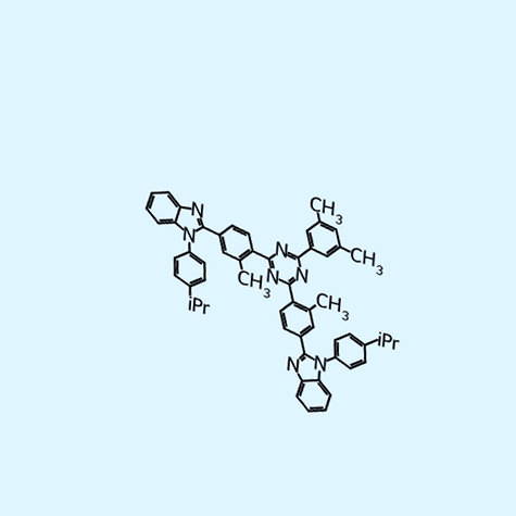 Cc1cc(C)cc(-c2nc(-c3ccc(-c4nc5ccccc5n4-c4ccc(C(C)C)cc4)cc3C)nc(-c3ccc(-c4nc5ccccc5n4-c4ccc(C(C)C)cc4)cc3C)n2)c1